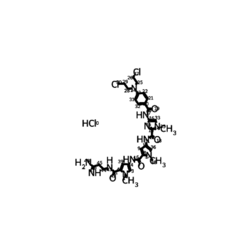 Cl.Cn1cc(NC(=O)c2cc(NC(=O)c3nc(NC(=O)c4ccc(N(CCCl)CCCl)cc4)cn3C)cn2C)cc1C(=O)NCCC(=N)N